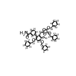 CCc1c(OCc2ccccc2)cc(OCc2ccccc2)c(-c2cccc(C(N)=O)c2)c1CC1O[C@H](OCc2ccccc2)[C@@H](OCc2ccccc2)O1